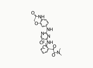 CN(C)C(=O)C(=O)c1ccccc1Nc1nc(Nc2ccc3c(c2)OCC(=O)N3)ncc1C(F)(F)F